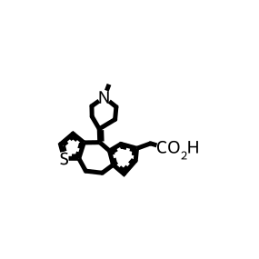 CN1CCC(=C2c3cc(CC(=O)O)ccc3CCc3sccc32)CC1